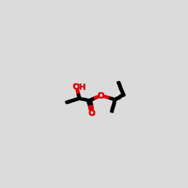 CCC(C)OC(=O)C(C)O